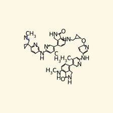 C/N=C/C1(c2ccc(Nc3cc(C)c(-c4ccc(NCC5CC5Oc5ccc(Nc6cc(C)c(-c7ccc(NC)c8c7CNC8=O)cn6)cn5)c5c4CNC5=O)cn3)cn2)CC1